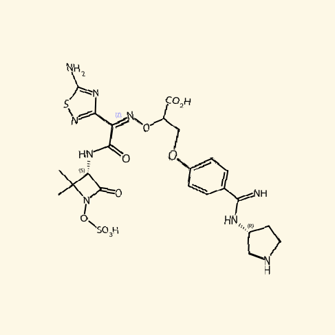 CC1(C)[C@H](NC(=O)/C(=N\OC(COc2ccc(C(=N)N[C@@H]3CCNC3)cc2)C(=O)O)c2nsc(N)n2)C(=O)N1OS(=O)(=O)O